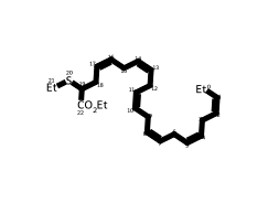 CC/C=C\C/C=C\C/C=C\C/C=C\C/C=C\C/C=C\CC(SCC)C(=O)OCC